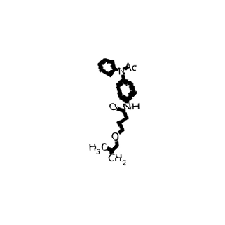 C=C(C)COCCCC(=O)Nc1ccc(N(C(C)=O)c2ccccc2)cc1